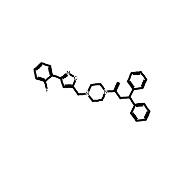 C=C(CC(c1ccccc1)c1ccccc1)N1CCN(Cc2cc(-c3ccccc3F)no2)CC1